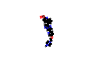 CN1CCN(CCOc2ccc(-c3cnc4c(-c5cccc6nc(O)ccc56)cnn4c3)nc2)CC1